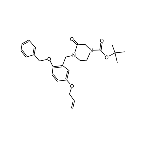 C=CCOc1ccc(OCc2ccccc2)c(CN2CCN(C(=O)OC(C)(C)C)CC2=O)c1